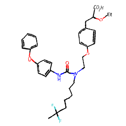 CCOC(Cc1ccc(OCCN(CCCCCC(C)(F)F)C(=O)Nc2ccc(Oc3ccccc3)cc2)cc1)C(=O)O